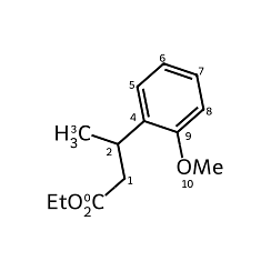 CCOC(=O)CC(C)c1ccccc1OC